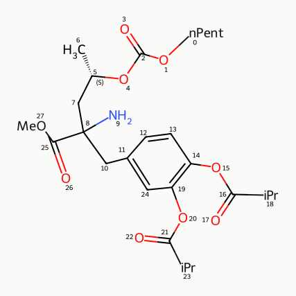 CCCCCOC(=O)O[C@@H](C)CC(N)(Cc1ccc(OC(=O)C(C)C)c(OC(=O)C(C)C)c1)C(=O)OC